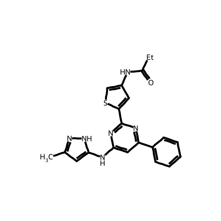 CCC(=O)Nc1csc(-c2nc(Nc3cc(C)n[nH]3)cc(-c3ccccc3)n2)c1